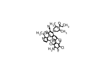 C=CC(=O)N1[C@H](C)CN(c2c(C#N)c(=O)n(-c3c(C)ccnc3C(C)C)c3nc(C4=C(Cl)[C@H](N)C(F)C(Cl)=C4F)c(Cl)cc23)C[C@@H]1C